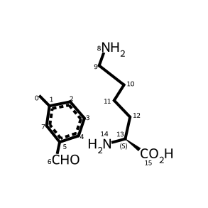 Cc1cccc(C=O)c1.NCCCC[C@H](N)C(=O)O